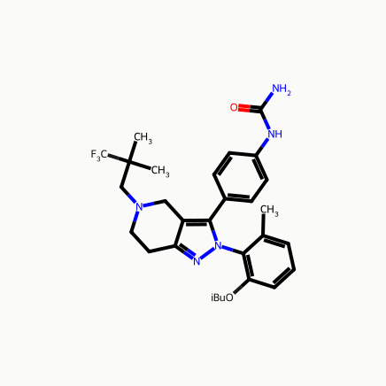 Cc1cccc(OCC(C)C)c1-n1nc2c(c1-c1ccc(NC(N)=O)cc1)CN(CC(C)(C)C(F)(F)F)CC2